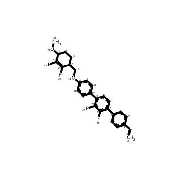 C=Cc1ccc(-c2ccc(-c3ccc(OCC4CCC(OC)C(F)=C4F)cc3)c(F)c2F)cc1